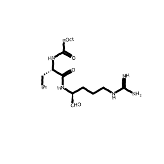 CCCCCCCCC(=O)N[C@@H](CC(C)C)C(=O)N[C@H](C=O)CCCNC(=N)N